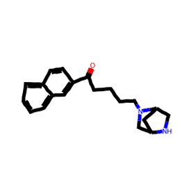 O=C(CCCCN1CC2CC1CN2)c1ccc2ccccc2c1